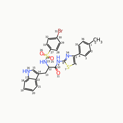 Cc1ccc(-c2csc(NC(=O)C(Cc3c[nH]c4ccccc34)NS(=O)(=O)c3ccc(Br)cc3)n2)cc1